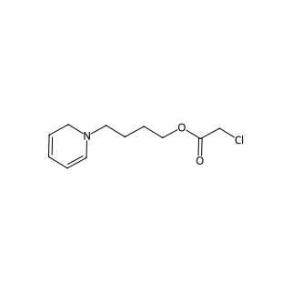 O=C(CCl)OCCCCN1C=CC=CC1